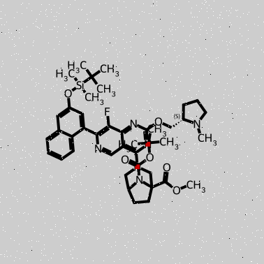 COC(=O)C12CCC(CN(c3nc(OC[C@@H]4CCCN4C)nc4c(F)c(-c5cc(O[Si](C)(C)C(C)(C)C)cc6ccccc56)ncc34)C1)N2C(=O)OC(C)(C)C